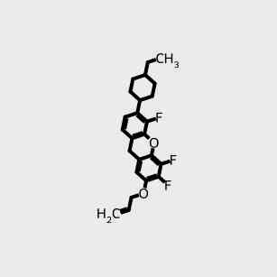 C=CCOc1cc2c(c(F)c1F)Oc1c(ccc(C3CCC(CC)CC3)c1F)C2